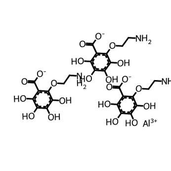 NCCOc1c(O)c(O)c(O)c(O)c1C(=O)[O-].NCCOc1c(O)c(O)c(O)c(O)c1C(=O)[O-].NCCOc1c(O)c(O)c(O)c(O)c1C(=O)[O-].[Al+3]